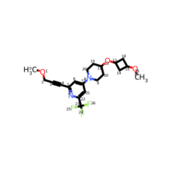 COCC#Cc1cc(N2CCC(OC3CC(OC)C3)CC2)cc(C(F)(F)F)n1